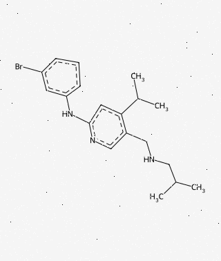 CC(C)CNCc1cnc(Nc2cccc(Br)c2)cc1C(C)C